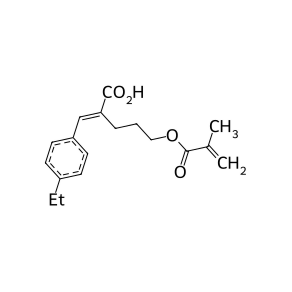 C=C(C)C(=O)OCCCC(=Cc1ccc(CC)cc1)C(=O)O